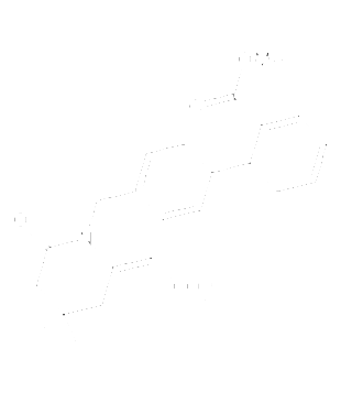 CCOC(=O)/C=C1\CC(C)(C)CC(=O)N1Cc1ccc(-c2ccccc2C(=O)OC)cc1